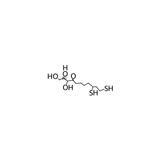 O=C(CCCCC(S)CCS)C(O)[C@@H](O)CO